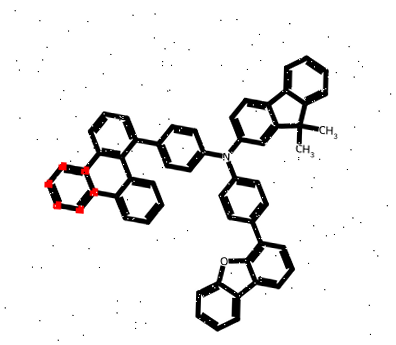 CC1(C)c2ccccc2-c2ccc(N(c3ccc(-c4cccc(-c5ccccc5)c4-c4ccccc4-c4ccccc4)cc3)c3ccc(-c4cccc5c4oc4ccccc45)cc3)cc21